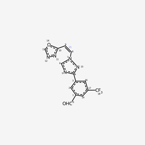 O=Cc1cc(-c2ncn(/C=C\c3nnco3)n2)cc(C(F)(F)F)c1